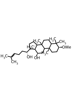 CO[C@H]1CC[C@@]2(C)C(CC[C@]3(C)C2C[C@@H](O)C2C([C@H](O)CCC=C(C)C)CC[C@]23C)C1(C)C